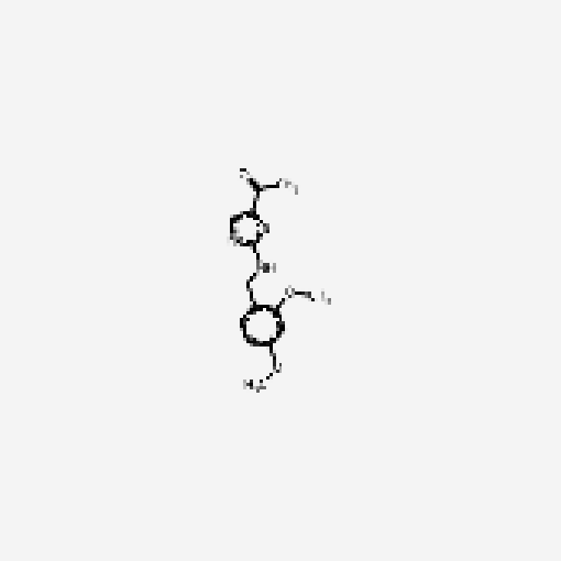 COc1ccc(CNc2ncc(C(C)=O)s2)c(OC)c1